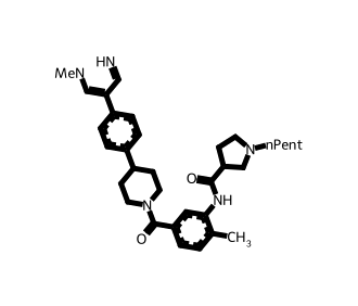 CCCCCN1CCC(C(=O)Nc2cc(C(=O)N3CCC(c4ccc(/C(C=N)=C/NC)cc4)CC3)ccc2C)C1